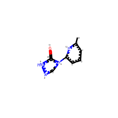 Cc1cccc(-n2cn[nH]c2=O)n1